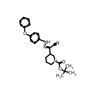 CC(C)(C)OC(=O)N1CCCC(C(C#N)=NNc2ccc(Oc3ccccc3)cc2)C1